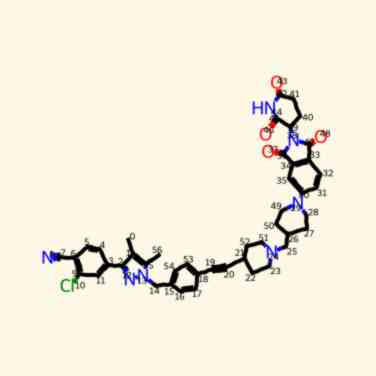 Cc1c(-c2ccc(C#N)c(Cl)c2)nn(Cc2ccc(C#CC3CCN(CC4CCN(c5ccc6c(c5)C(=O)N(C5CCC(=O)NC5=O)C6=O)CC4)CC3)cc2)c1C